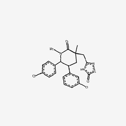 CC(C)N1C(=O)C(C)(Cc2nsc(=O)[nH]2)CC(c2cccc(Cl)c2)C1c1ccc(Cl)cc1